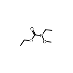 CCOC(=O)N(CC)OC